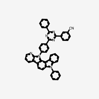 N#Cc1cccc(-c2nc(-c3ccccc3)nc(-c3ccc(-n4c5ncccc5c5ccc6c(c7ccccc7n6-c6ccccc6)c54)cc3)n2)c1